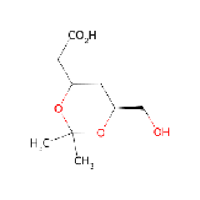 CC1(C)OC(CC(=O)O)C[C@@H](CO)O1